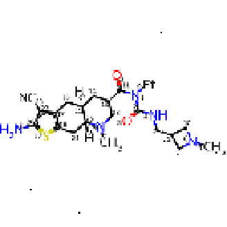 CCN(C(=O)NCC1CN(C)C1)C(=O)[C@@H]1C[C@@H]2Cc3c(sc(N)c3C#N)C[C@H]2N(C)C1